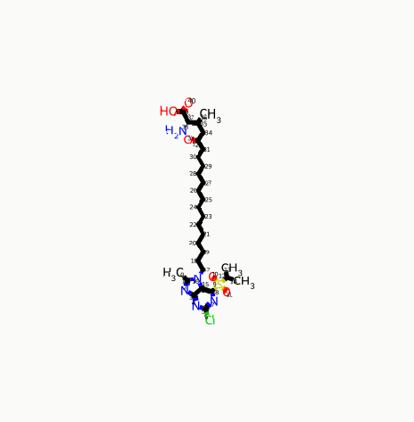 Cc1nc2nc(Cl)nc(S(=O)(=O)C(C)C)c2n1CCCCCCCCCCCCCCCC(=O)CC(C)[C@H](N)C(=O)O